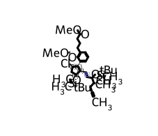 CC#CCC(C)C(/C=C/[C@@H]1[C@@H](c2cccc(CCCC(=O)OC)c2OCOC)[C@H](Cl)C[C@H]1O[Si](C)(C)C(C)(C)C)O[Si](C)(C)C(C)(C)C